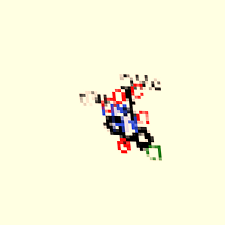 COC(=O)CC[C@H](NC(=O)OC(C)(C)C)C(=O)Nc1ccc(Cl)cc1C(=O)c1ccccc1